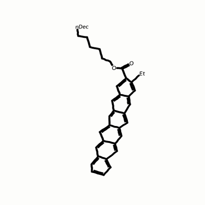 CCCCCCCCCCCCCCCCOC(=O)c1cc2cc3cc4cc5cc6ccccc6cc5cc4cc3cc2cc1CC